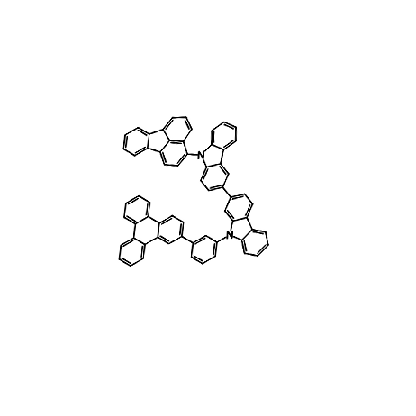 c1cc(-c2ccc3c4ccccc4c4ccccc4c3c2)cc(-n2c3ccccc3c3ccc(-c4ccc5c(c4)c4ccccc4n5-c4ccc5c6c(cccc46)-c4ccccc4-5)cc32)c1